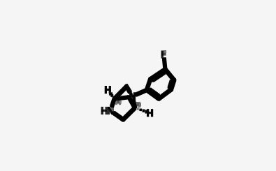 Fc1cccc(N2C[C@H]3C[C@@H]2CN3)c1